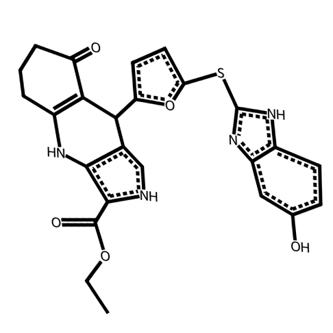 CCOC(=O)c1[nH]cc2c1NC1=C(C(=O)CCC1)C2c1ccc(Sc2nc3cc(O)ccc3[nH]2)o1